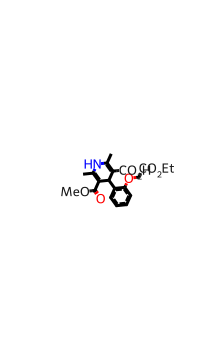 CCOC(=O)COc1ccccc1C1C(C(=O)O)=C(C)NC(C)=C1C(=O)OC